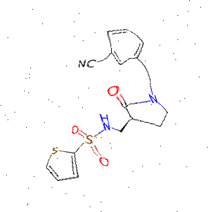 N#Cc1cccc(CN2CC[C@@H](CNS(=O)(=O)c3cccs3)C2=O)c1